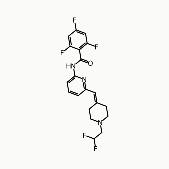 O=C(Nc1cccc(C=C2CCN(CC(F)F)CC2)n1)c1c(F)cc(F)cc1F